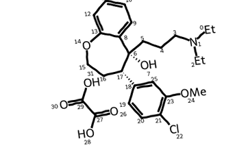 CCN(CC)CCC[C@]1(O)c2ccccc2OCC[C@H]1c1ccc(Cl)c(OC)c1.O=C(O)C(=O)O